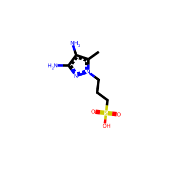 Cc1c(N)c(N)nn1CCCS(=O)(=O)O